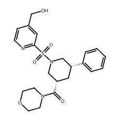 O=C([C@H]1C[C@@H](c2ccccc2)CN(S(=O)(=O)c2cc(CO)ccn2)C1)N1CCOCC1